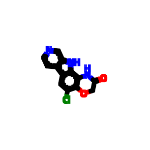 O=C1COc2c(Cl)cc3c([nH]c4cnccc43)c2N1